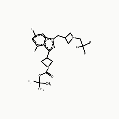 CC(C)(C)OC(=O)N1CC(c2nn(CC3CN(CC(F)(F)F)C3)c3cc(F)cc(F)c23)C1